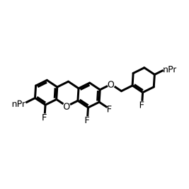 CCCc1ccc2c(c1F)Oc1c(cc(OCC3=C(F)CC(CCC)CC3)c(F)c1F)C2